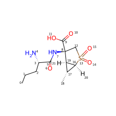 CCC[C@H](N)C(=O)N[C@@]1(C(=O)O)CS(=O)(=O)[C@H]2[C@H](C)[C@H]21